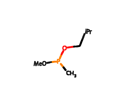 COP(C)OCC(C)C